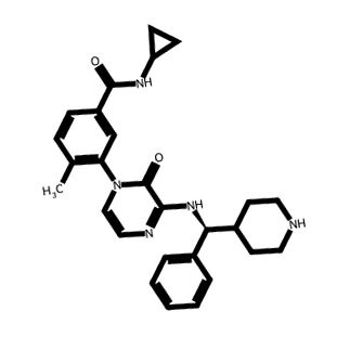 Cc1ccc(C(=O)NC2CC2)cc1-n1ccnc(N[C@H](c2ccccc2)C2CCNCC2)c1=O